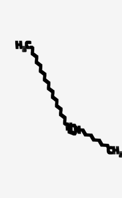 CCCCCCCCCCCCCCCCCCCN1C=CN(CCCCCCCC)C1